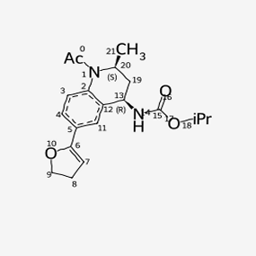 CC(=O)N1c2ccc(C3=CCCO3)cc2[C@H](NC(=O)OC(C)C)C[C@@H]1C